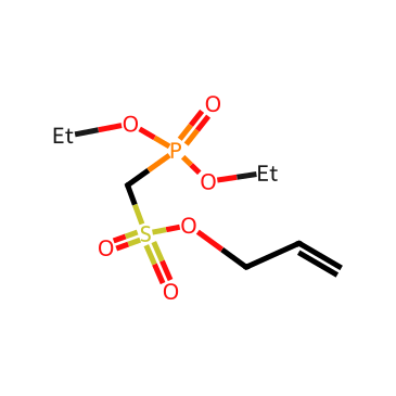 C=CCOS(=O)(=O)CP(=O)(OCC)OCC